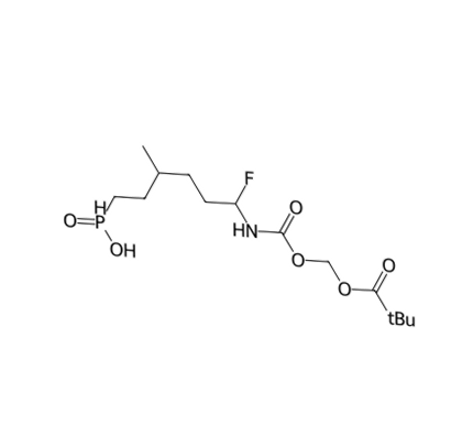 CC(CCC(F)NC(=O)OCOC(=O)C(C)(C)C)CC[PH](=O)O